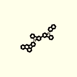 c1ccc2cc(-n3c4ccccc4c4cc(-c5ccc6c(c5)c5ccccc5n6-c5ccc6c(c5)-c5cc7ccccc7c7cccc-6c57)ccc43)ccc2c1